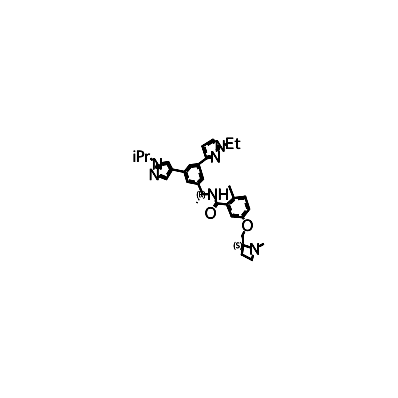 CCn1ccc(-c2cc(-c3cnn(C(C)C)c3)cc([C@@H](C)NC(=O)c3cc(OC[C@@H]4CCN4C)ccc3C)c2)n1